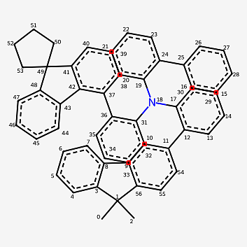 CC1(C)c2ccccc2-c2cc(-c3ccccc3N(c3ccccc3-c3ccccc3)c3ccccc3-c3cccc4c3-c3ccccc3C43CCCC3)ccc21